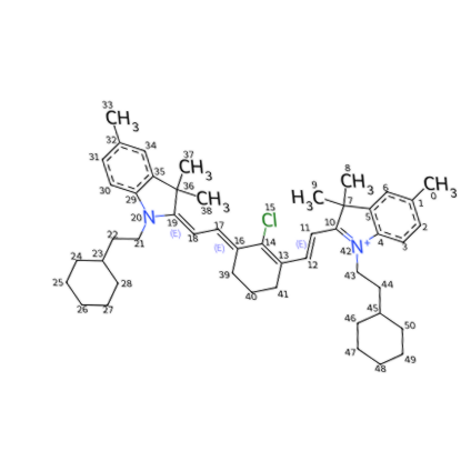 Cc1ccc2c(c1)C(C)(C)C(/C=C/C1=C(Cl)C(=C/C=C3/N(CCC4CCCCC4)c4ccc(C)cc4C3(C)C)/CCC1)=[N+]2CCC1CCCCC1